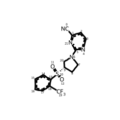 N#Cc1ccnc(N2CC[C@H](S(=O)(=O)c3ccccc3C(F)(F)F)C2)n1